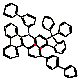 c1ccc(-c2ccc(-c3ccc(-c4c(N(c5cccc(-c6ccccc6)c5)c5ccc6c(c5)C(c5ccccc5)(c5ccccc5)c5ccccc5-6)c5ccccc5c5ccccc45)cc3)cc2)cc1